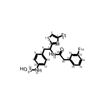 CCc1csc(C(Cc2ccc(NS(=O)(=O)O)cc2)NC(=O)Cc2cccc(F)c2)n1